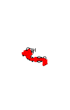 C=C(CN(CC)CC)C(=O)N1CC(S(=O)(=O)c2ccc(N3CC(CN4CCC(C(CN5CCC5)(c5cccc(F)c5)[C@H]5CCC[C@@H]5NC(=O)O)CC4)C3)cc2)C1